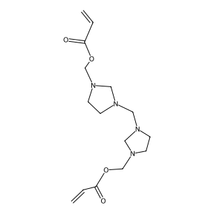 C=CC(=O)OCN1CCN(CN2CCN(COC(=O)C=C)C2)C1